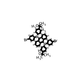 CC(C)(C)c1ccc(N(c2ccc(Br)cc2)c2c3ccccc3c(N(c3ccc(Br)cc3)c3ccc(C(C)(C)C)cc3)c3ccccc23)cc1